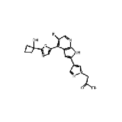 O=C(O)Cn1cc(-c2cc3c(-c4cnc(C5(O)CCC5)s4)c(F)cnc3[nH]2)cn1